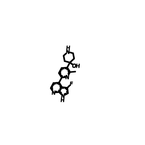 Cc1nc(-c2ccnc3[nH]cc(F)c23)ccc1C1(O)CCNCC1